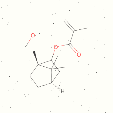 C=C(C)C(=O)OC1C[C@H]2CC[C@@]1(C)C2(C)C.C[O]